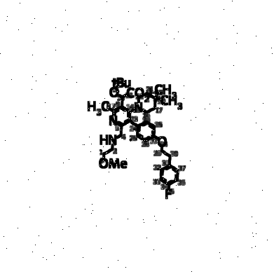 COCCNCc1nc(C)c(C(OC(C)(C)C)C(=O)O)c(N2CCC(C)(C)CC2)c1-c1ccc(OCCc2ccc(F)cc2)cc1